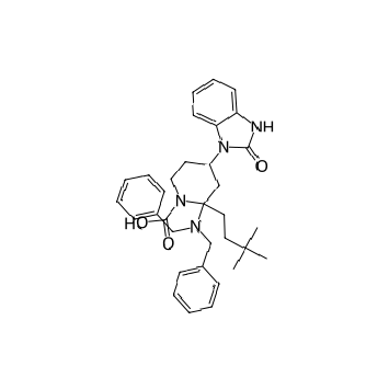 CC(C)(C)CCC1(N(Cc2ccccc2)Cc2ccccc2)CC(n2c(=O)[nH]c3ccccc32)CCN1C(=O)O